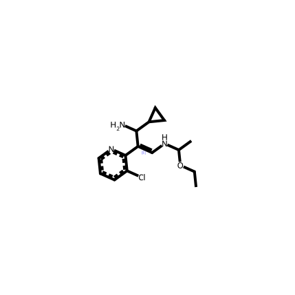 CCOC(C)N/C=C(/c1ncccc1Cl)C(N)C1CC1